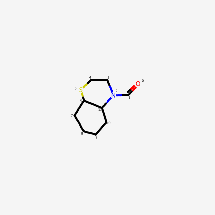 O=CN1CCSC2CCCCC21